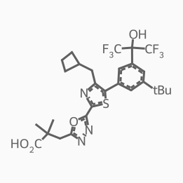 CC(C)(Cc1nnc(-c2nc(CC3CCC3)c(-c3cc(C(C)(C)C)cc(C(O)(C(F)(F)F)C(F)(F)F)c3)s2)o1)C(=O)O